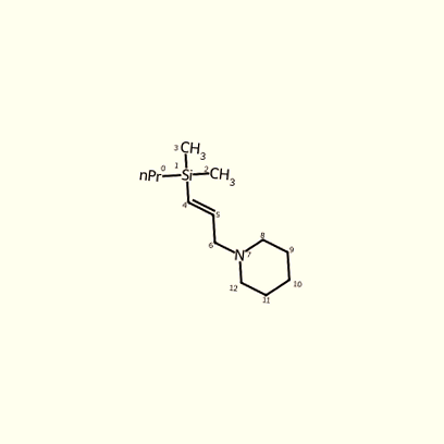 CCC[Si](C)(C)C=CCN1CCCCC1